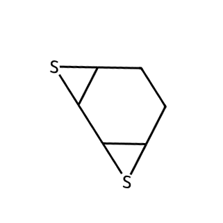 C1CC2SC2C2SC12